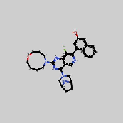 Oc1cc(-c2ncc3c(N4CC5CCC(C4)N5)nc(N4CCCCOCCC4)nc3c2F)c2ccccc2c1